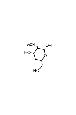 CC(=O)N[C@H]1[C@H](O)O[C@H](CO)C[C@@H]1O